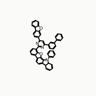 C1=CC2c3ccc4c(oc5c(-c6nc(-c7cccc(-c8ccccc8)c7)cc(-c7ccc8c(c7)oc7ccccc78)n6)cccc54)c3N(c3ccccc3)C2C=C1